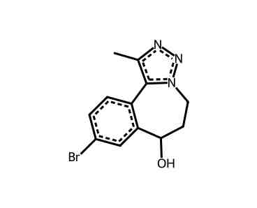 Cc1nnn2c1-c1ccc(Br)cc1C(O)CC2